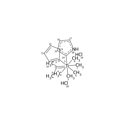 C[C](C)=[Ti]([CH3])([CH3])([CH3])([CH3])([CH3])([C]1=CC=CC1)[c]1ccc[nH]1.Cl.Cl